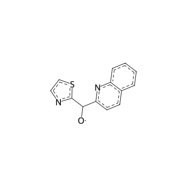 [O]C(c1ccc2ccccc2n1)c1nccs1